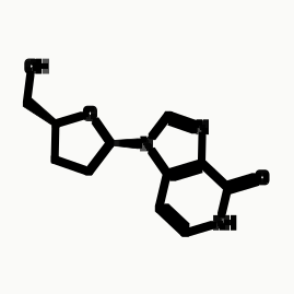 O=c1[nH]ccc2c1ncn2[C@H]1CC[C@@H](CO)O1